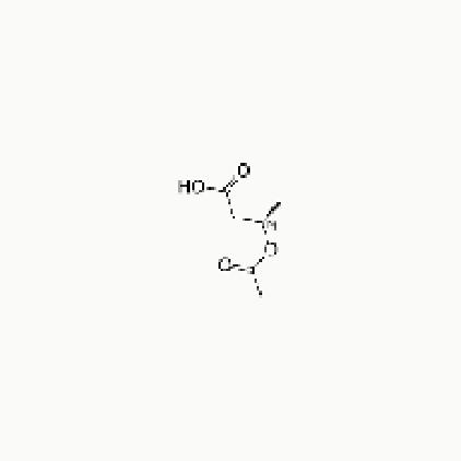 CC(=O)O[C@H](C)CC(=O)O